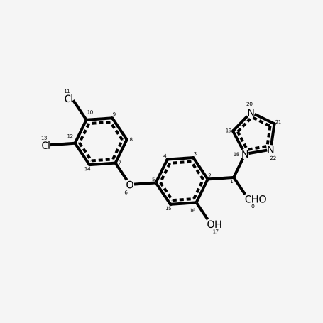 O=CC(c1ccc(Oc2ccc(Cl)c(Cl)c2)cc1O)n1cncn1